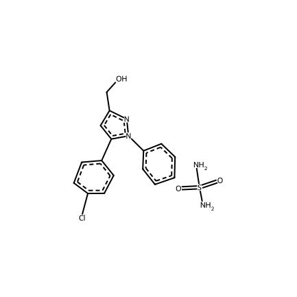 NS(N)(=O)=O.OCc1cc(-c2ccc(Cl)cc2)n(-c2ccccc2)n1